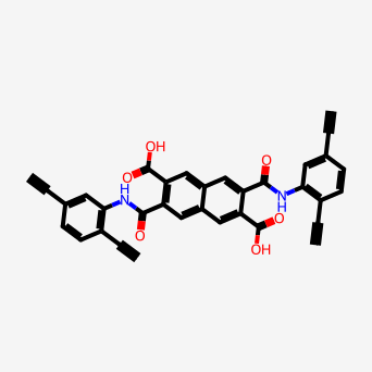 C#Cc1ccc(C#C)c(NC(=O)c2cc3cc(C(=O)O)c(C(=O)Nc4cc(C#C)ccc4C#C)cc3cc2C(=O)O)c1